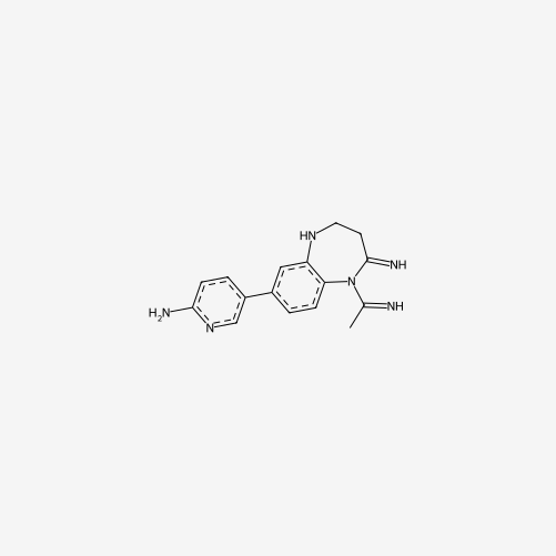 CC(=N)N1C(=N)CCNc2cc(-c3ccc(N)nc3)ccc21